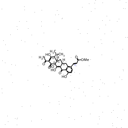 COC(=O)/C=C/c1ccc(O)c2c1C[C@@H]1C[C@H]3[C@H](N(C)C)C(O)=C(C(N)=O)C(=O)[C@]3(O)C(O)=C1C2=O